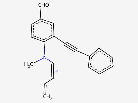 C=C/C=C\N(C)c1ccc(C=O)cc1C#Cc1ccccc1